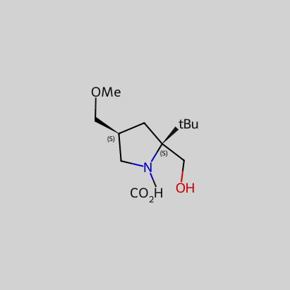 COC[C@@H]1CN(C(=O)O)[C@](CO)(C(C)(C)C)C1